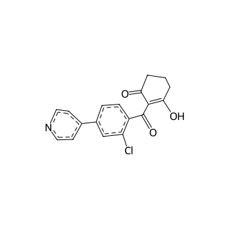 O=C1CCCC(O)=C1C(=O)c1ccc(-c2ccncc2)cc1Cl